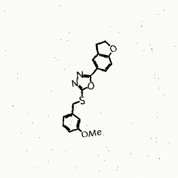 COc1cccc(CSc2nnc(-c3ccc4c(c3)CCO4)o2)c1